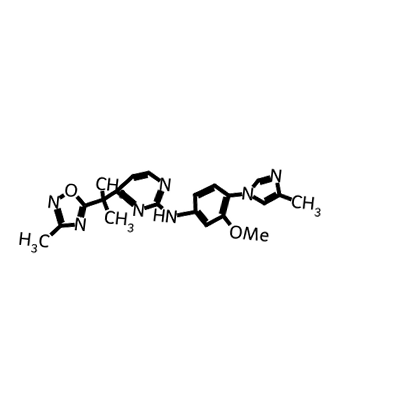 COc1cc(Nc2nccc(C(C)(C)c3nc(C)no3)n2)ccc1-n1cnc(C)c1